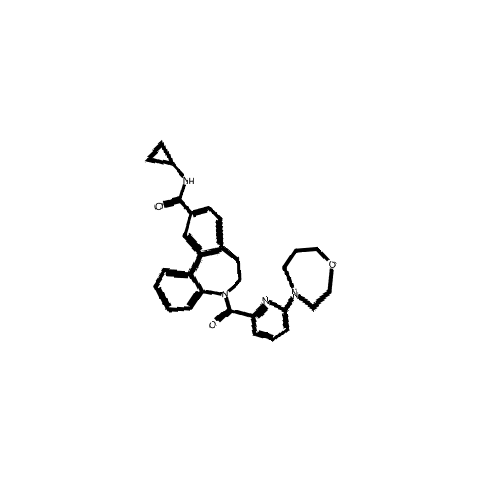 O=C(NC1CC1)c1ccc2c(c1)-c1ccccc1N(C(=O)c1cccc(N3CCCOCC3)n1)CC2